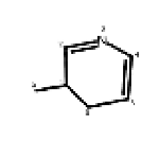 CC1C=NC=CC1